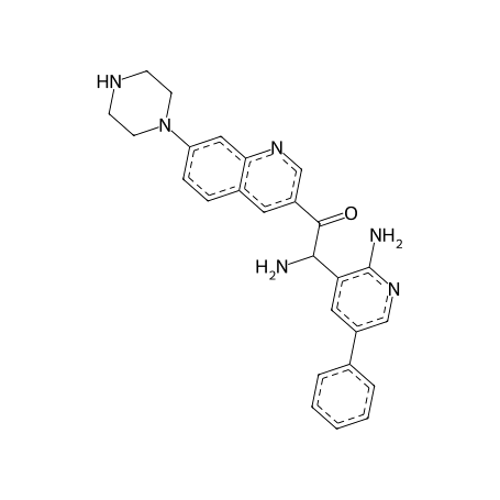 Nc1ncc(-c2ccccc2)cc1C(N)C(=O)c1cnc2cc(N3CCNCC3)ccc2c1